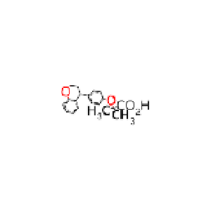 CC(C)(Oc1ccc(C2CCOc3ccccc32)cc1)C(=O)O